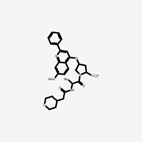 COc1ccc2c(OC3CC(C(=O)O)N(C(=O)C(NC(=O)CC4CCOCC4)C(C)(C)C)C3)cc(-c3ccccc3)nc2c1